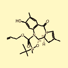 C=CCOC(=O)N1c2cc(O)c(C)cc2C(=O)N2C=C(C)C[C@H]2[C@@H]1O[Si](C)(C)C(C)(C)C